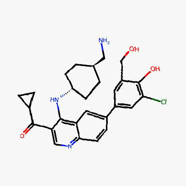 NC[C@H]1CC[C@H](Nc2c(C(=O)C3CC3)cnc3ccc(-c4cc(Cl)c(O)c(CO)c4)cc23)CC1